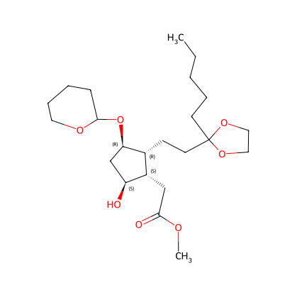 CCCCCC1(CC[C@@H]2[C@H](CC(=O)OC)[C@@H](O)C[C@H]2OC2CCCCO2)OCCO1